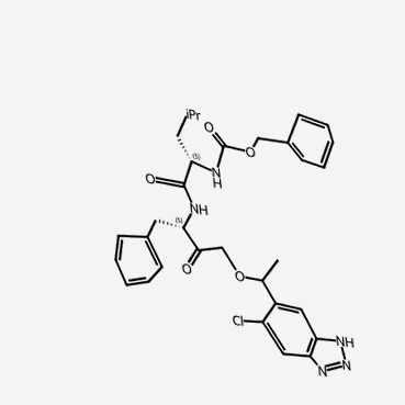 CC(C)C[C@H](NC(=O)OCc1ccccc1)C(=O)N[C@@H](Cc1ccccc1)C(=O)COC(C)c1cc2[nH]nnc2cc1Cl